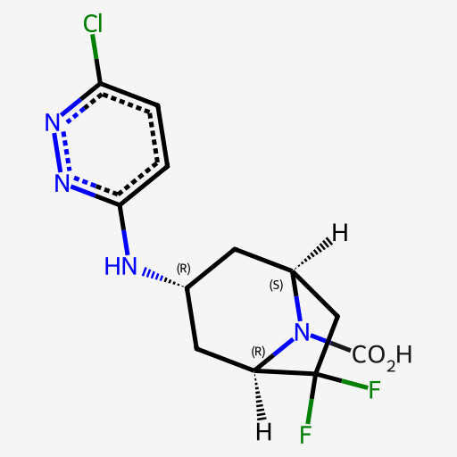 O=C(O)N1[C@H]2C[C@@H](Nc3ccc(Cl)nn3)C[C@@H]1C(F)(F)C2